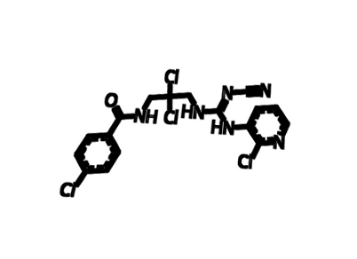 N#CN=C(NCC(Cl)(Cl)CNC(=O)c1ccc(Cl)cc1)Nc1cccnc1Cl